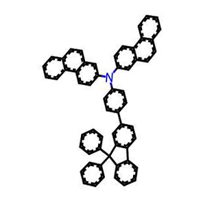 c1ccc(C2(c3ccccc3)c3ccccc3-c3ccc(-c4ccc(N(c5ccc6c(ccc7ccccc76)c5)c5ccc6c(ccc7ccccc76)c5)cc4)cc32)cc1